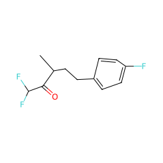 CC(CCc1ccc(F)cc1)C(=O)C(F)F